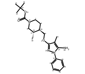 Cc1c(OC[C@@H]2CCN(C(=O)OC(C)(C)C)C[C@H]2F)nn(-c2ccccc2)c1N